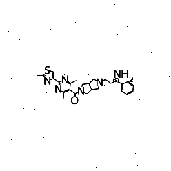 Cc1nc(-c2nc(C)c(C(=O)N3CC4CN(CC[C@H](N)c5ccccc5)CC4C3)c(C)n2)cs1